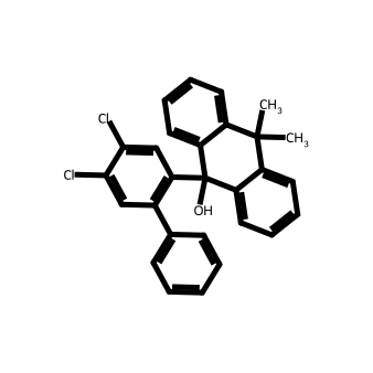 CC1(C)c2ccccc2C(O)(c2cc(Cl)c(Cl)cc2-c2ccccc2)c2ccccc21